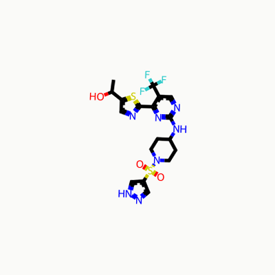 CC(O)c1cnc(-c2nc(NC3CCN(S(=O)(=O)c4cn[nH]c4)CC3)ncc2C(F)(F)F)s1